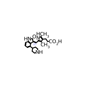 Cc1[nH]c(/C=C2\C(=O)Nc3cccc(C4CCNCC4)c32)c(C)c1CCC(=O)O